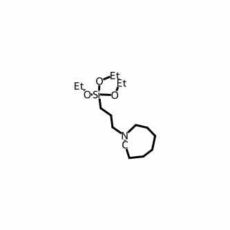 CCO[Si](CCCN1CCCCCCC1)(OCC)OCC